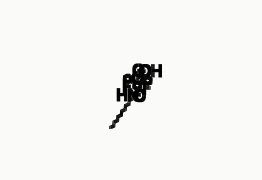 CCCCCCCCCCCCNC(=O)c1cc(-c2ccccc2F)c(OCC(=O)O)c(-c2ccccc2F)c1